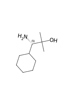 CC(C)(O)[C@@H](N)C1CCCCC1